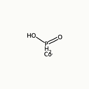 O=[PH2]O.[Co]